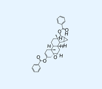 C[C@]12CC[C@H]3[C@@H](C[C@H]4O[C@]45CC(OC(=O)c4ccccc4)=CC[C@]35C)[C@@H]1[C@@H]1C[C@@H]1[C@@H]2OC(=O)c1ccccc1